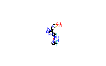 Nc1ncnn2c(CN3CCS(O)(O)CC3)cc(-c3ccc(NC(=O)Nc4ncccc4C(F)(F)F)c(F)c3)c12